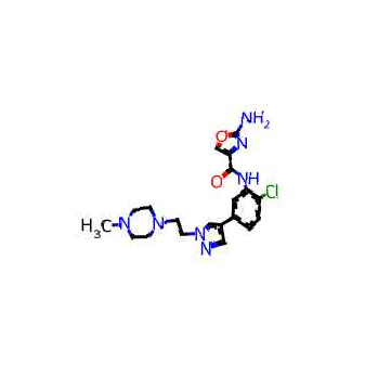 CN1CCN(CCn2cc(-c3ccc(Cl)c(NC(=O)c4coc(N)n4)c3)cn2)CC1